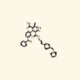 COC(=O)C1=C(C)NC(C)=C(C(=O)OC/C=C/c2ccc(Cn3ccnc3)cc2)C1c1cccc(C(=O)c2ccccc2)c1